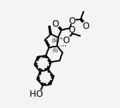 C=C1C=C2c3ccc4cc(O)ccc4c3CC[C@]2(C)[C@]1(OC(C)=O)C(=O)COC(C)=O